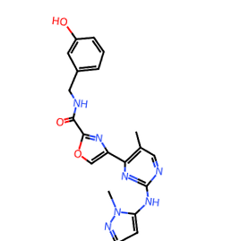 Cc1cnc(Nc2ccnn2C)nc1-c1coc(C(=O)NCc2cccc(O)c2)n1